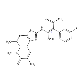 CC(=N)/C(=C(\Nc1nc2c(s1)SC(C)c1c-2cc(C)c(=O)n1C)C(=O)O)c1cccc(F)c1